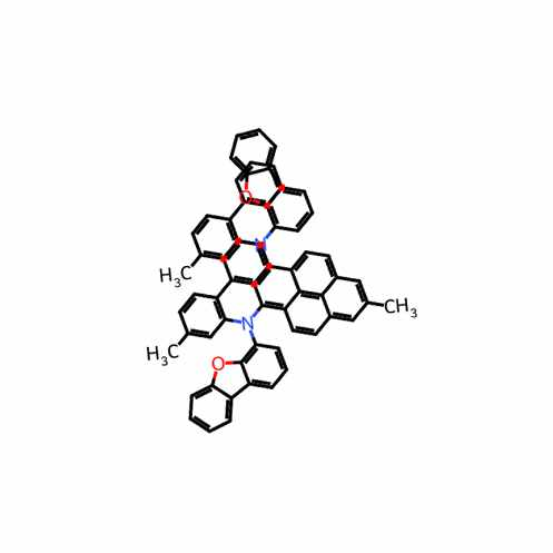 Cc1ccc(-c2ccccc2)c(N(c2cc(N(c3cc(C)ccc3-c3ccccc3)c3cccc4c3oc3ccccc34)c3ccc4cc(C)cc5ccc2c3c54)c2cccc3c2oc2ccccc23)c1